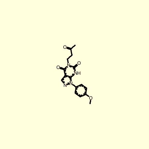 COc1ccc(-n2ncc3c(=O)n(CCC(C)=O)c(=O)[nH]c32)cc1